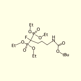 CCOP(=O)(OCC)C(F)(CCCNC(=O)OC(C)(C)C)P(=O)(OCC)OCC